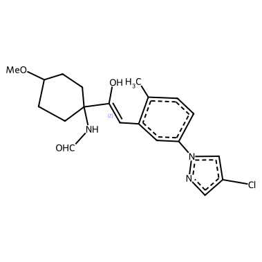 COC1CCC(NC=O)(/C(O)=C/c2cc(-n3cc(Cl)cn3)ccc2C)CC1